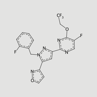 Fc1ccccc1Cn1nc(-c2ncc(F)c(OCC(F)(F)F)n2)cc1-c1ccon1